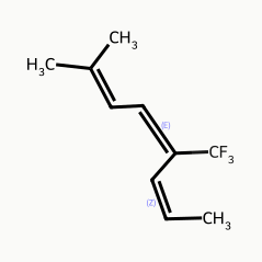 C/C=C\C(=C/C=C(C)C)C(F)(F)F